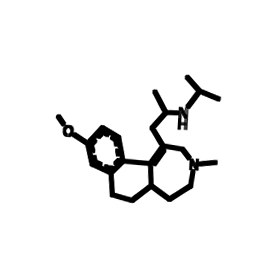 COc1ccc2c(c1)CCC1CCN(C)CC(CC(C)NC(C)C)=C21